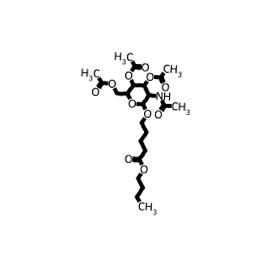 CCCCOC(=O)CCCCOC1OC(COC(C)=O)C(OC(C)=O)C(OC(C)=O)C1NC(C)=O